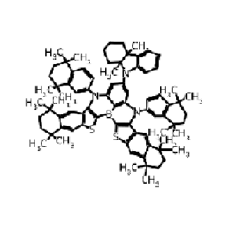 CC1(C)CCC(C)(C)c2cc(N3c4cc(N5c6ccccc6C6(C)CCCCC56C)cc5c4B(c4sc6cc7c(cc6c43)C(C)(C)CCC7(C)C)c3sc4cc6c(cc4c3N5c3ccc4c(c3)C(C)(C)CCC4(C)C)C(C)(C)CCC6(C)C)ccc21